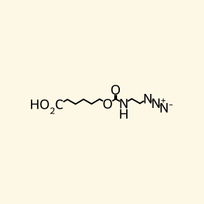 [N-]=[N+]=NCCNC(=O)OCCCCCC(=O)O